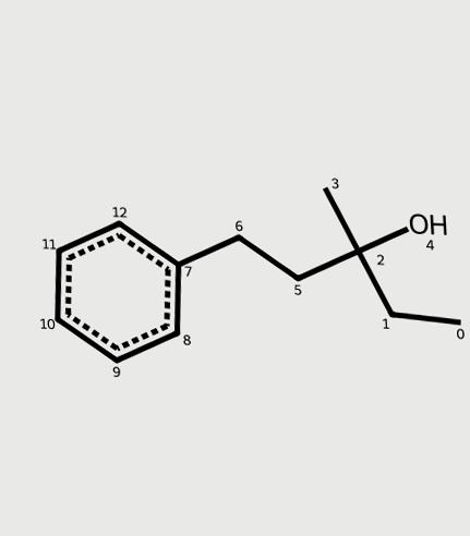 CCC(C)(O)CCc1ccccc1